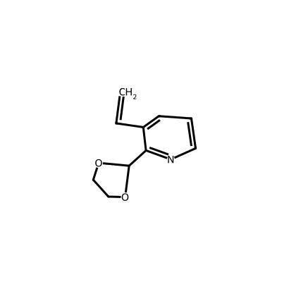 C=Cc1cccnc1C1OCCO1